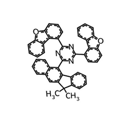 CC1(C)c2ccccc2-c2c1cc1ccccc1c2-c1nc(-c2cccc3oc4ccccc4c23)nc(-c2cccc3oc4ccccc4c23)n1